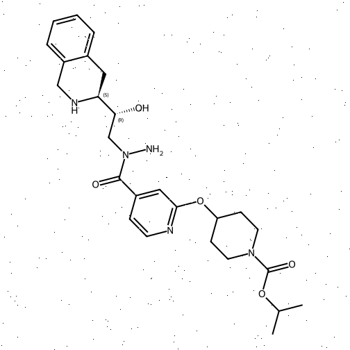 CC(C)OC(=O)N1CCC(Oc2cc(C(=O)N(N)C[C@@H](O)[C@@H]3Cc4ccccc4CN3)ccn2)CC1